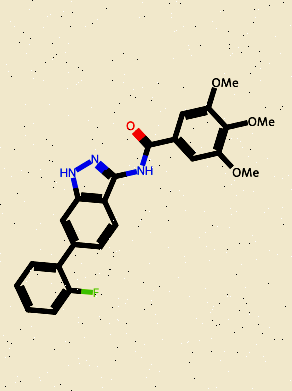 COc1cc(C(=O)Nc2n[nH]c3cc(-c4ccccc4F)ccc23)cc(OC)c1OC